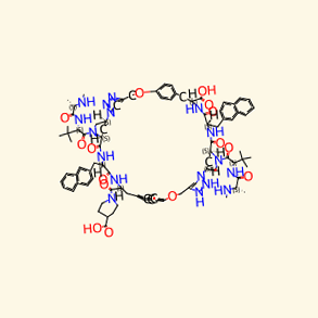 CN[C@@H](C)C(=O)N[C@H](C(=O)N1C[C@@H]2C[C@H]1C(=O)N[C@@H](Cc1ccc3ccccc3c1)C(=O)N[C@H](C(=O)O)Cc1ccc(cc1)OCc1cn(nn1)[C@H]1C[C@@H](C(=O)N[C@@H](Cc3ccc4ccccc4c3)C(=O)N[C@H](C(=O)N3CCC(C(=O)O)CC3)Cc3ccc(cc3)OCC3=CN2NN3)N(C(=O)[C@@H](NC(=O)[C@H](C)NC)C(C)(C)C)C1)C(C)(C)C